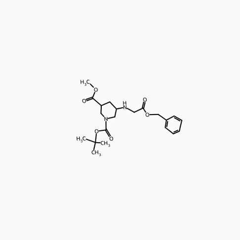 COC(=O)C1CC(NCC(=O)OCc2ccccc2)CN(C(=O)OC(C)(C)C)C1